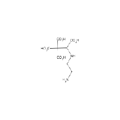 NCCNC(C(=O)O)C(C(=O)O)(C(=O)O)C(=O)O